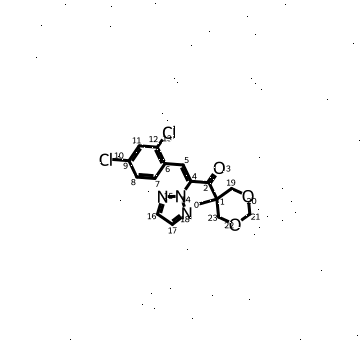 CC1(C(=O)C(=Cc2ccc(Cl)cc2Cl)n2nccn2)COCOC1